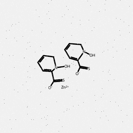 [O-]C(=S)C1=CC=CCN1O.[O-]C(=S)C1=CC=CCN1O.[Zn+2]